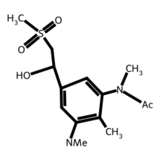 CNc1cc(C(O)CS(C)(=O)=O)cc(N(C)C(C)=O)c1C